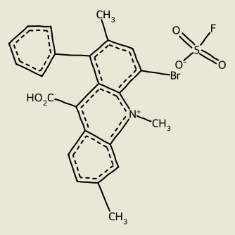 Cc1ccc2c(C(=O)O)c3c(-c4ccccc4)c(C)cc(Br)c3[n+](C)c2c1.O=S(=O)([O-])F